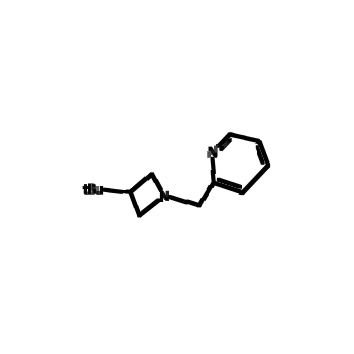 CC(C)(C)C1CN(Cc2ccccn2)C1